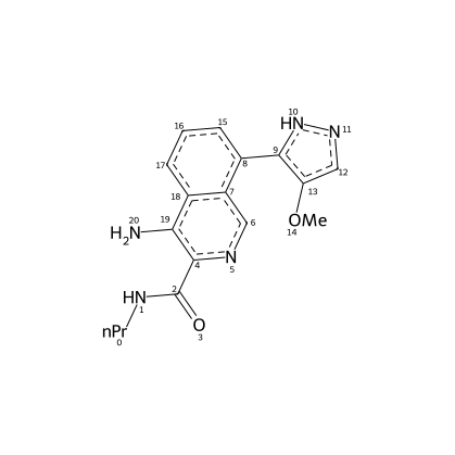 CCCNC(=O)c1ncc2c(-c3[nH]ncc3OC)cccc2c1N